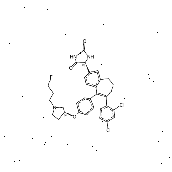 O=C1NC(=O)[C@H](c2ccc3c(c2)CCCC(c2ccc(Cl)cc2Cl)=C3c2ccc(O[C@H]3CCN(CCCF)C3)cc2)N1